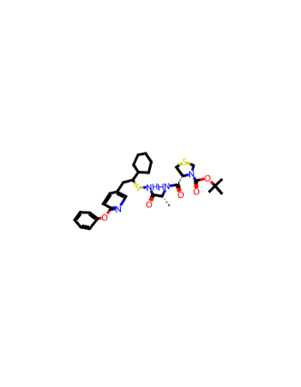 C[C@@H](NC(=O)[C@@H]1CSCN1C(=O)OC(C)(C)C)C(=O)NSC(Cc1ccc(Oc2ccccc2)nc1)C1CCCCC1